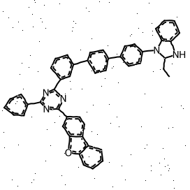 CCC1Nc2ccccc2N1c1ccc(-c2ccc(-c3cccc(-c4nc(-c5ccccc5)nc(-c5ccc6c(c5)oc5ccccc56)n4)c3)cc2)cc1